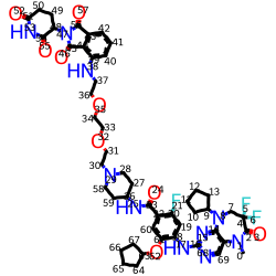 CN1C(=O)C(F)(F)CN(C2CCCC2)c2nc(Nc3cc(F)c(C(=O)NC4CCN(CCOCCOCCNc5cccc6c5C(=O)N(C5CCC(=O)NC5=O)C6=O)CC4)cc3OC3CCCC3)ncc21